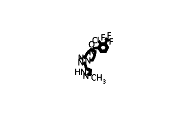 Cc1cc(-c2nnc3n2CC2CCC3N2C(=O)c2cccc(C(F)(F)F)c2Cl)[nH]n1